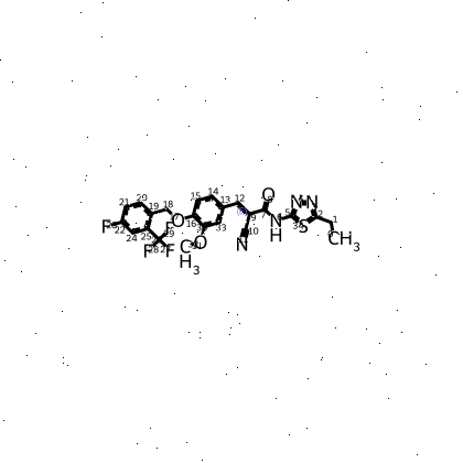 CCc1nnc(NC(=O)/C(C#N)=C/c2ccc(OCc3ccc(F)cc3C(F)(F)F)c(OC)c2)s1